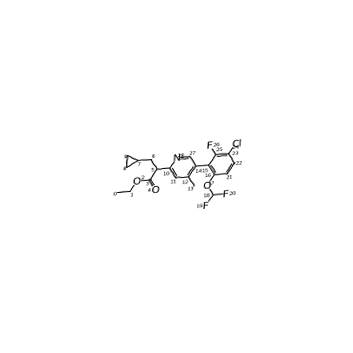 CCOC(=O)C(CC1CC1)c1cc(C)c(-c2c(OC(F)F)ccc(Cl)c2F)cn1